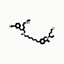 C=CN/C=C\C=C(/Cc1cccc(C#N)c1)CN(C)CCCCCCCc1ccc2c(c1)CN(C(C=C)CCC=O)C2=C